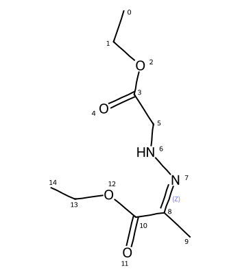 CCOC(=O)CN/N=C(/C)C(=O)OCC